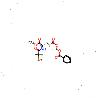 CC(C)(C)OC(=O)[C@H](CSC(=O)OCOC(=O)c1ccccc1)NC(=O)C(C)(C)S